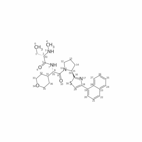 CC[C@H](NC)C(=O)N[C@H](C(=O)N1CCC[C@H]1c1nc(-c2cccc3ccccc23)cs1)C1CCOCC1